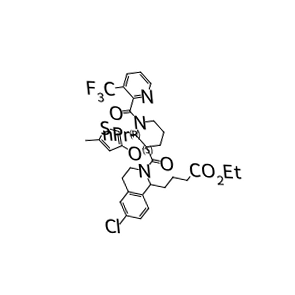 CCC[C@H]1N(C(=O)c2ncccc2C(F)(F)F)CCC[C@@]1(Oc1csc(C)c1)C(=O)N1CCc2cc(Cl)ccc2C1CCCC(=O)OCC